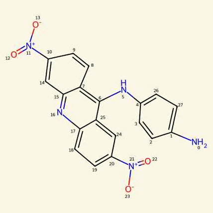 Nc1ccc(Nc2c3ccc([N+](=O)[O-])cc3nc3ccc([N+](=O)[O-])cc23)cc1